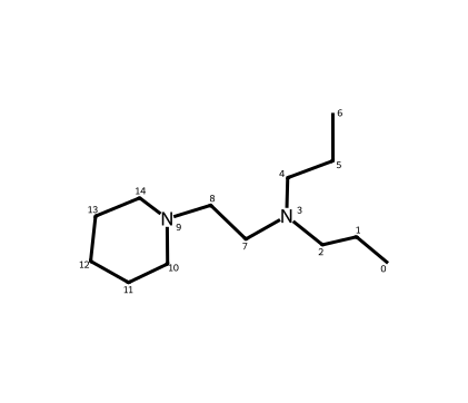 CCCN(CCC)CCN1CCCCC1